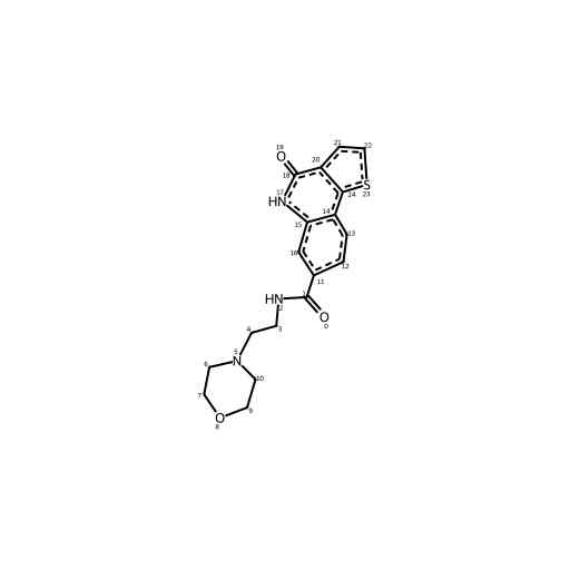 O=C(NCCN1CCOCC1)c1ccc2c(c1)[nH]c(=O)c1ccsc12